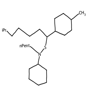 CCCCCN(SC(CCCCC(C)C)C1CCC(C)CC1)C1CCCCC1